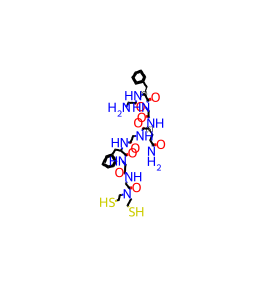 NCC(=O)N[C@@H](Cc1ccccc1)C(=O)NCC(=O)N[C@@H](CCC(N)=O)C(=O)NCC(=O)NC(Cc1ccccc1)C(=O)NCC(=O)NCC(=O)N(CCS)CCS